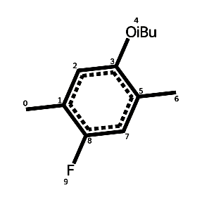 Cc1cc(OCC(C)C)c(C)cc1F